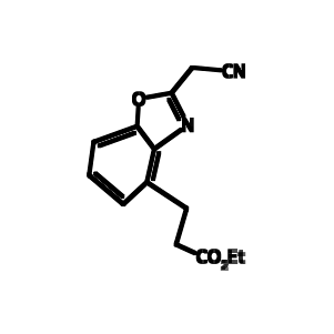 CCOC(=O)CCc1cccc2oc(CC#N)nc12